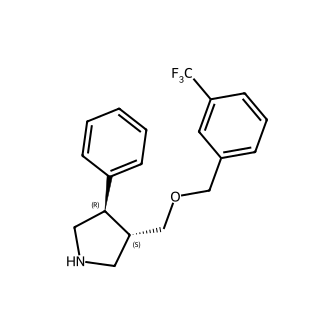 FC(F)(F)c1cccc(COC[C@@H]2CNC[C@H]2c2ccccc2)c1